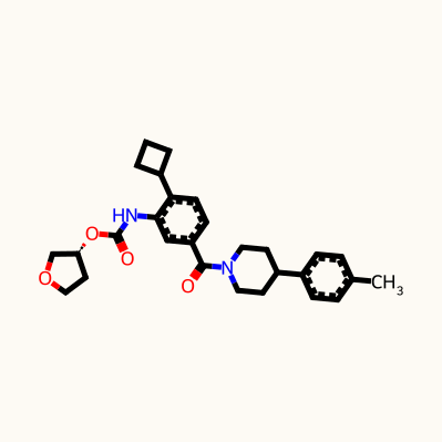 Cc1ccc(C2CCN(C(=O)c3ccc(C4CCC4)c(NC(=O)O[C@@H]4CCOC4)c3)CC2)cc1